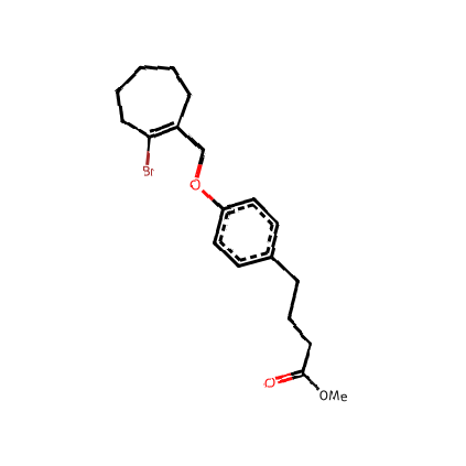 COC(=O)CCCc1ccc(OCC2=C(Br)CCCCC2)cc1